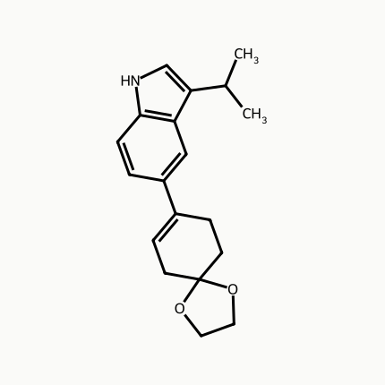 CC(C)c1c[nH]c2ccc(C3=CCC4(CC3)OCCO4)cc12